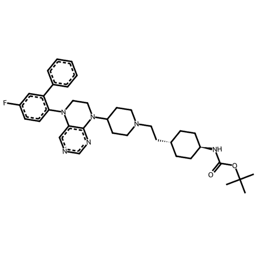 CC(C)(C)OC(=O)N[C@H]1CC[C@H](CCN2CCC(N3CCN(c4ccc(F)cc4-c4ccccc4)c4cncnc43)CC2)CC1